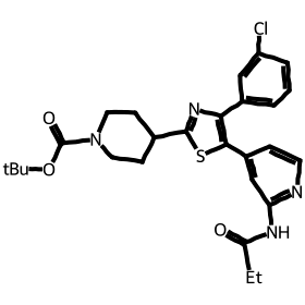 CCC(=O)Nc1cc(-c2sc(C3CCN(C(=O)OC(C)(C)C)CC3)nc2-c2cccc(Cl)c2)ccn1